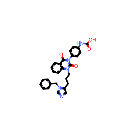 O=C(O)Nc1ccc(-n2c(=O)c3ccccc3n(CCCc3cncn3Cc3ccccc3)c2=O)cc1